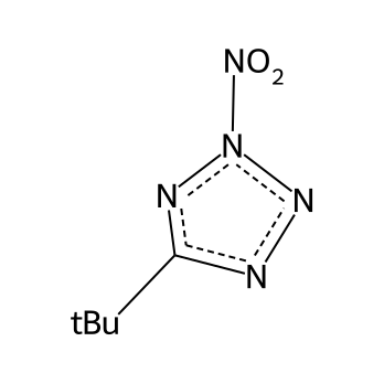 CC(C)(C)c1nnn([N+](=O)[O-])n1